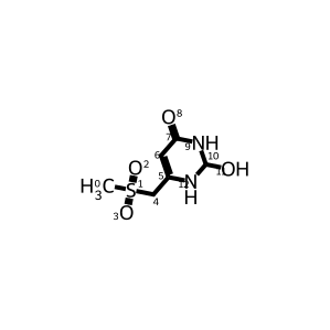 CS(=O)(=O)CC1=CC(=O)NC(O)N1